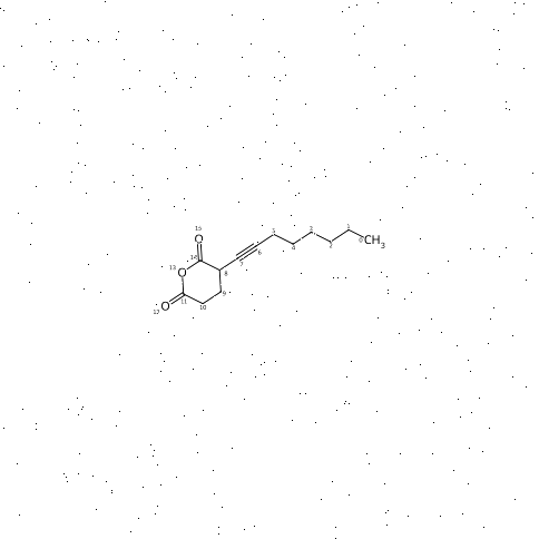 CCCCCCC#CC1CCC(=O)OC1=O